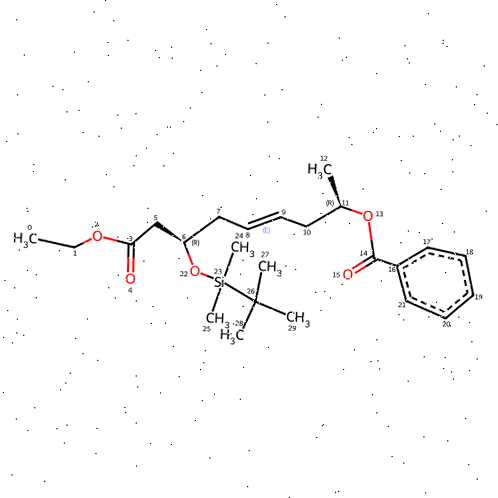 CCOC(=O)C[C@@H](C/C=C/C[C@@H](C)OC(=O)c1ccccc1)O[Si](C)(C)C(C)(C)C